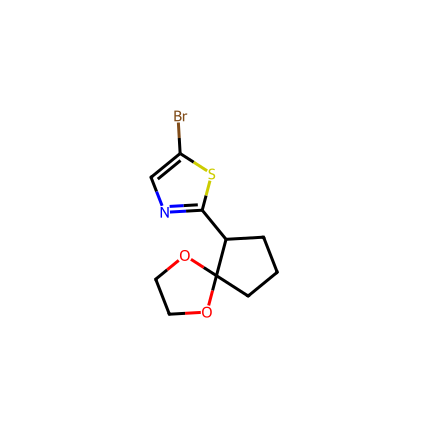 Brc1cnc(C2CCCC23OCCO3)s1